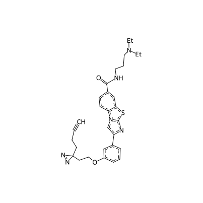 C#CCCC1(CCOc2cccc(-c3cn4c(n3)sc3cc(C(=O)NCCCN(CC)CC)ccc34)c2)N=N1